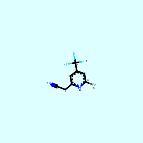 N#CCc1cc(C(F)(F)F)cc(Br)n1